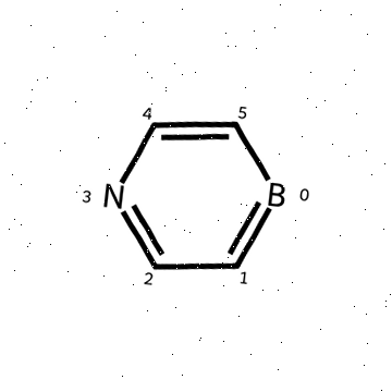 b1ccncc1